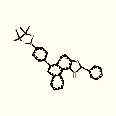 CC1(C)OB(c2ccc(-c3nc4ccccc4c4c5c(ccc34)OC(c3ccccc3)N5)cc2)OC1(C)C